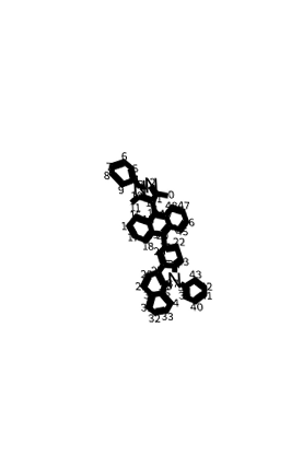 Cc1nn(-c2ccccc2)c(C)c1-c1c2ccccc2c(-c2ccc3c(c2)c2ccc4ccccc4c2n3-c2ccccc2)c2ccccc12